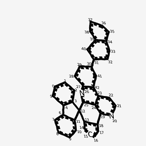 c1ccc2c(c1)-c1ccccc1C21c2ccccc2-c2nccc3c2c1nc1ccc(-c2ccc4ccccc4c2)cc13